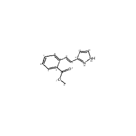 COC(=O)c1ccccc1/C=C/c1cc[nH]n1